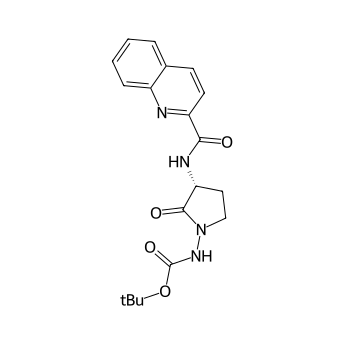 CC(C)(C)OC(=O)NN1CC[C@@H](NC(=O)c2ccc3ccccc3n2)C1=O